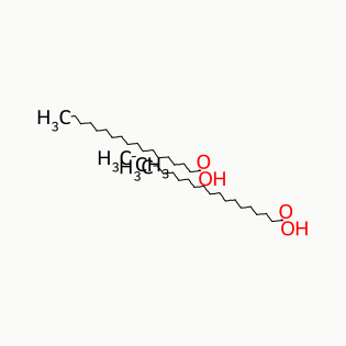 CCC.CCCCCCCCCCCCCCCCCC(=O)O.CCCCCCCCCCCCCCCCCC(=O)O